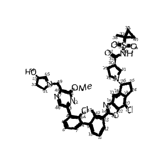 COc1nc(-c2cccc(-c3cccc(-c4nc5cc6c(c(Cl)c5o4)CC[C@H]6N4CC[C@@H](C(=O)NS(=O)(=O)C5(C)CC5)C4)c3C)c2Cl)cnc1CN1CC[C@@H](O)C1